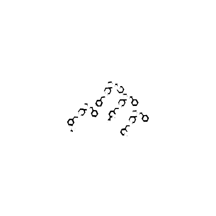 O=C(N1CCCCC1)N1CCOC2(CCN(CCc3ccccc3)CC2)C1.O=C(c1ccccc1)N1CCOC2(CCN(CCc3ccc(C(F)(F)F)nc3)CC2)C1.O=C(c1ccccc1)N1CCOC2(CCN(CCc3cccc(OC(F)(F)F)c3)CC2)C1.O=C(c1ccccc1)N1CCOC2(CCN(CCc3cccnc3)CC2)C1